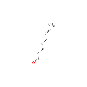 C/C=C/C/C=C/C[C]=O